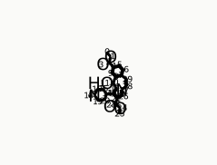 COC(=O)c1ccc2c(c1)C(O)c1c(C3CCN(C)CC3)c(C(=O)OC)cn1C=C2